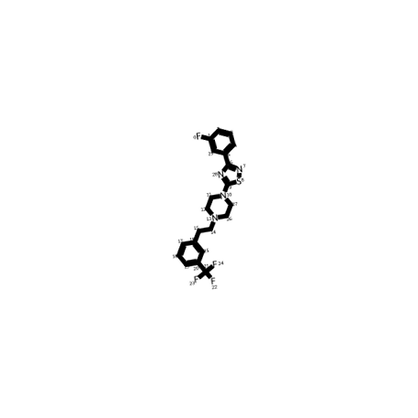 Fc1cccc(-c2nsc(N3CCN(CCc4cccc(C(F)(F)F)c4)CC3)n2)c1